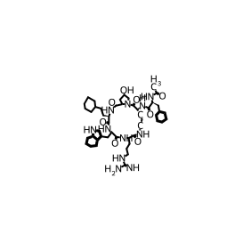 CC(=O)N[C@@H](Cc1ccccc1)C(=O)N[C@H]1CCCNC(=O)C(CCCNC(=N)N)NC(=O)C(Cc2c[nH]c3ccccc23)NC(=O)[C@@H](CCC2CCCCC2)NC(=O)C2C[C@@H](O)CN2C1=O